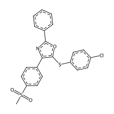 CS(=O)(=O)c1ccc(-c2nc(-c3ccccc3)oc2Sc2ccc(Cl)cc2)cc1